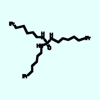 CC(C)CCCCCNP(=O)(NCCCCCC(C)C)NCCCCCC(C)C